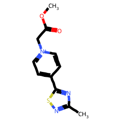 COC(=O)C[n+]1ccc(-c2nc(C)ns2)cc1